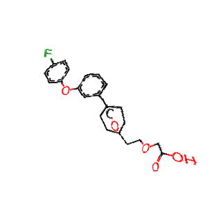 O=C(O)COCCC12CCC(c3cccc(Oc4ccc(F)cc4)c3)(CC1)CO2